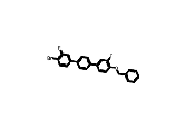 Fc1cc(-c2ccc(-c3ccc(OCc4ccccc4)c(F)c3)cc2)ccc1Br